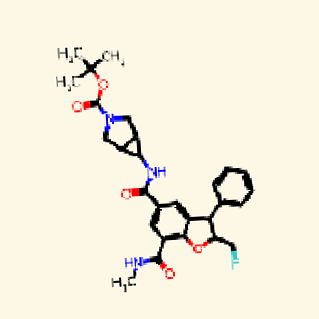 CNC(=O)c1cc(C(=O)NC2C3CN(C(=O)OC(C)(C)C)CC32)cc2c1OC(CF)C2c1ccccc1